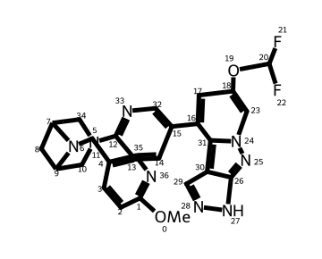 COc1ccc(CN2C3CC2CN(c2ccc(-c4cc(OC(F)F)cn5nc6[nH]ncc6c45)cn2)C3)cn1